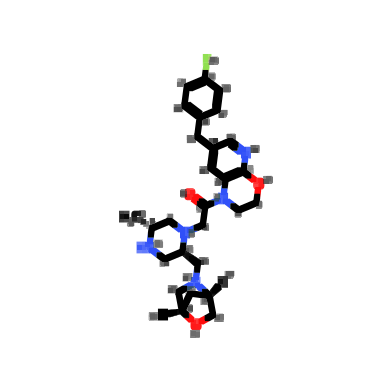 C[C@@H]1CN(CC(=O)N2CCOc3ncc(Cc4ccc(F)cc4)cc32)[C@@H](CN2C[C@@H]3C[C@H]2CO3)CN1